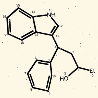 CCC(O)CC(c1ccccc1)c1c[nH]c2ccccc12